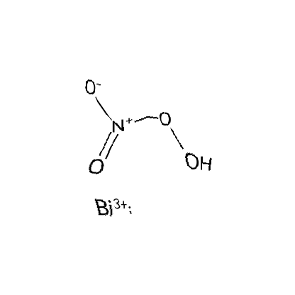 O=[N+]([O-])OO.[Bi+3]